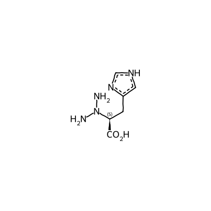 NN(N)[C@@H](Cc1c[nH]cn1)C(=O)O